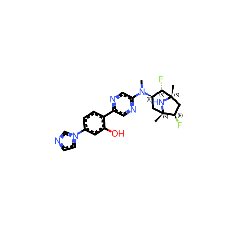 CN(c1cnc(-c2ccc(-n3ccnc3)cc2O)cn1)[C@@H]1C[C@]2(C)N[C@@](C)(C[C@H]2F)[C@H]1F